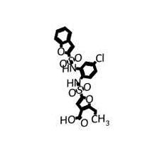 CCc1oc(S(=O)(=O)Nc2ccc(Cl)cc2NS(=O)(=O)c2cc3ccccc3o2)cc1C(=O)O